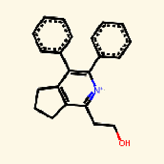 OCCC1=[N+]C(c2ccccc2)=C(c2ccccc2)C2=C1CCC2